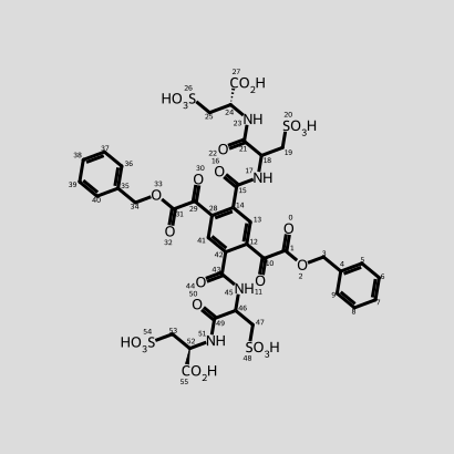 O=C(OCc1ccccc1)C(=O)c1cc(C(=O)NC(CS(=O)(=O)O)C(=O)N[C@H](CS(=O)(=O)O)C(=O)O)c(C(=O)C(=O)OCc2ccccc2)cc1C(=O)NC(CS(=O)(=O)O)C(=O)N[C@H](CS(=O)(=O)O)C(=O)O